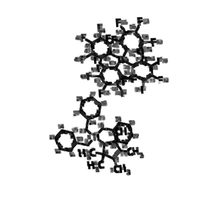 CC1=C(C)C(C)(C)[C]([Ti]([CH2]c2ccccc2)([CH2]c2ccccc2)[CH2]c2ccccc2)=C1C.Fc1c(F)c(F)c([B-](c2c(F)c(F)c(F)c(F)c2F)(c2c(F)c(F)c(F)c(F)c2F)c2c(F)c(F)c(F)c(F)c2F)c(F)c1F